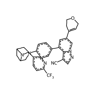 N#Cc1cnn2cc(C3=CCOCC3)cc(-c3ccc(N4CC5CC(C4)N5Cc4ccc(C(F)(F)F)nc4)nc3)c12